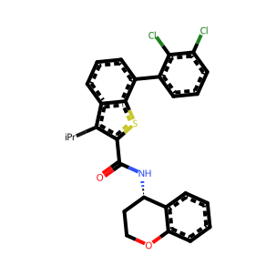 CC(C)c1c(C(=O)N[C@H]2CCOc3ccccc32)sc2c(-c3cccc(Cl)c3Cl)cccc12